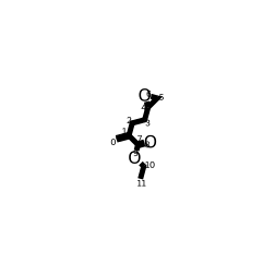 C=C(CCC1CO1)C(=O)OCC